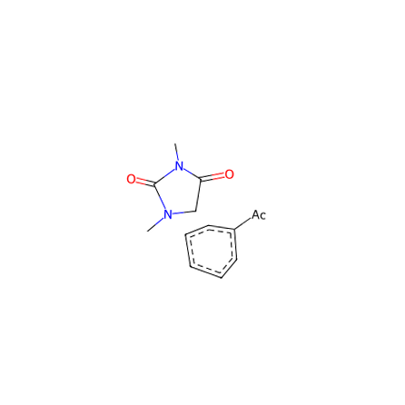 CC(=O)c1ccccc1.CN1CC(=O)N(C)C1=O